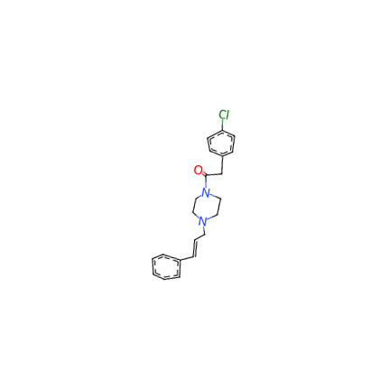 O=C(Cc1ccc(Cl)cc1)N1CCN(CC=Cc2ccccc2)CC1